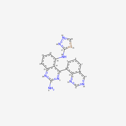 Nc1nc(-c2cccc3cncnc23)c2c(Nc3nncs3)cccc2n1